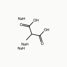 CC(C(=O)O)C(=O)O.[NaH].[NaH].[NaH]